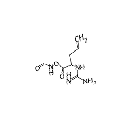 C=CCC(NC(=N)N)C(=O)ONC=O